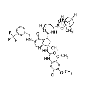 CC[C@H](NC(=O)[C@@H]1C[C@@](C)(NC(=O)Nc2cc(Cl)c(OC)cc2OC)c2ncc(NCc3cccc(C(F)(F)F)c3)c(=O)n21)B1O[C@@H]2C[C@@H]3C[C@@H](C3(C)C)[C@]2(C)O1